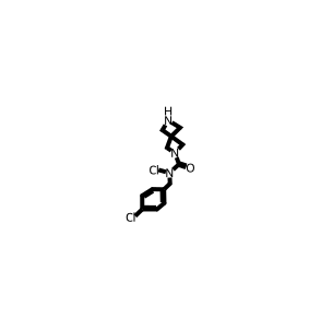 O=C(N(Cl)Cc1ccc(Cl)cc1)N1CC2(CNC2)C1